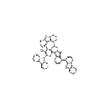 c1cc(-c2ccc3c(c2)oc2c(-c4cccc5c4sc4ccccc45)cccc23)c2c(c1)oc1ccc3oc4c(-n5c6ccccc6c6ccccc65)cccc4c3c12